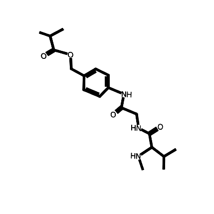 CNC(C(=O)NCC(=O)Nc1ccc(COC(=O)C(C)C)cc1)C(C)C